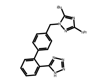 CCCc1nc(C(C)CC)n(Cc2ccc(-c3ccccc3-c3nnn[nH]3)cc2)n1